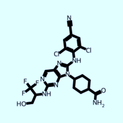 N#Cc1cc(Cl)c(Nc2nc3cnc(NC(CO)C(F)(F)F)nc3n2C2CCC(C(N)=O)CC2)c(Cl)c1